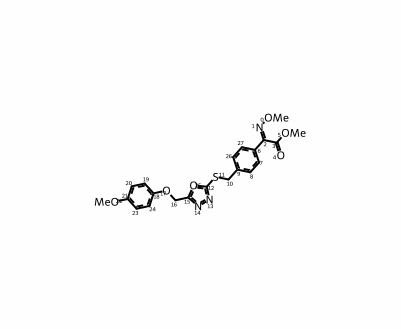 CON=C(C(=O)OC)c1ccc(CSc2nnc(COc3ccc(OC)cc3)o2)cc1